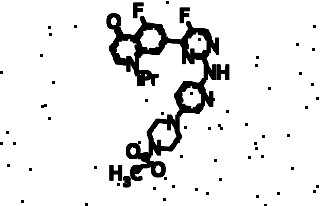 CC(C)n1ccc(=O)c2c(F)cc(-c3nc(Nc4ccc(N5CCN(S(C)(=O)=O)CC5)cn4)ncc3F)cc21